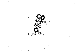 COc1ccc(S(=O)(=O)NCC(C)(C)c2cccc3ccccc23)cc1C